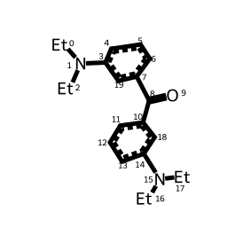 CCN(CC)c1cccc(C(=O)c2cccc(N(CC)CC)c2)c1